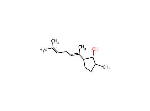 CC(C)=CCC=C(C)C1CCC(C)C1O